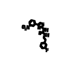 O=[N+]([O-])c1cccc(-c2csc(NC(=S)NCCc3cccc(F)c3)n2)c1